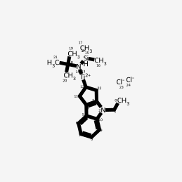 CCn1c2c(c3ccccc31)C[CH]([Ti+2][N]([SiH](C)C)C(C)(C)C)C2.[Cl-].[Cl-]